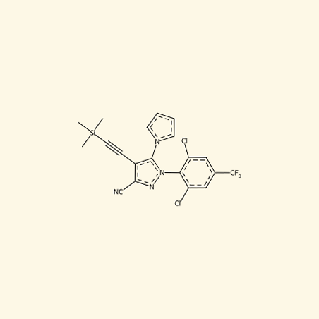 C[Si](C)(C)C#Cc1c(C#N)nn(-c2c(Cl)cc(C(F)(F)F)cc2Cl)c1-n1cccc1